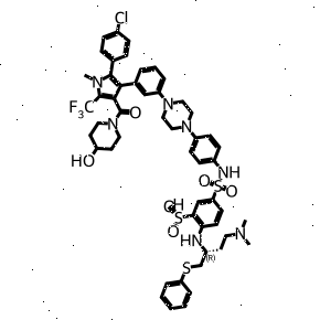 CN(C)CC[C@H](CSc1ccccc1)Nc1ccc(S(=O)(=O)Nc2ccc(N3CCN(c4cccc(-c5c(C(=O)N6CCC(O)CC6)c(C(F)(F)F)n(C)c5-c5ccc(Cl)cc5)c4)CC3)cc2)cc1[SH](=O)=O